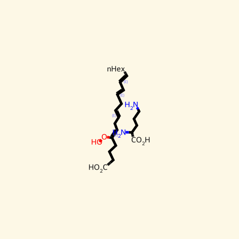 CCCCCC/C=C/C=C/C/C=C/C/C=C(/CCCC(=O)O)OO.NCCCC(N)C(=O)O